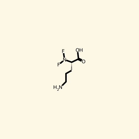 NCCC[C@@H](C(=O)O)N(F)F